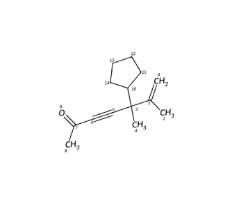 C=C(C)C(C)(C#CC(C)=O)C1CCCC1